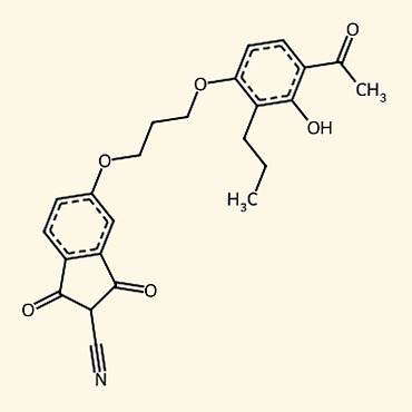 CCCc1c(OCCCOc2ccc3c(c2)C(=O)C(C#N)C3=O)ccc(C(C)=O)c1O